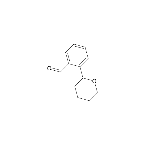 O=Cc1ccccc1C1CCCCO1